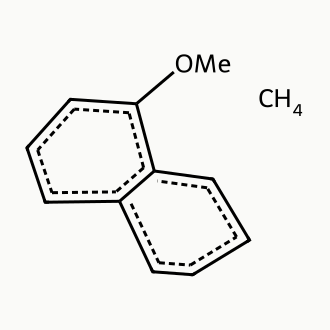 C.COc1cccc2ccccc12